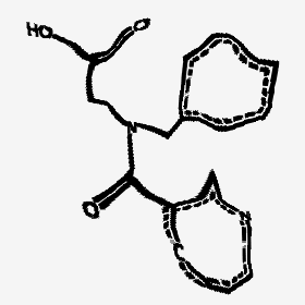 O=C(O)CN(C(=O)c1cccnc1)c1ccccc1